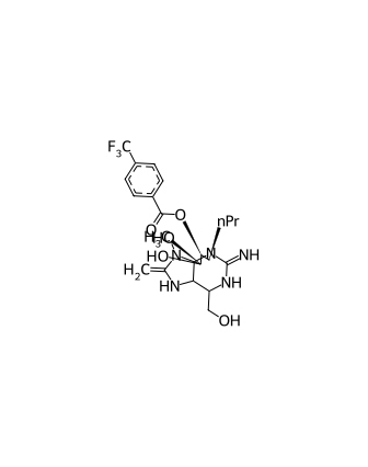 C=C1NC2C(CO)NC(=N)N3[C@@H](CCC)[C@H](OC(=O)c4ccc(C(F)(F)F)cc4)[C@](C)(O)C23N1O